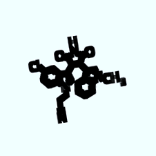 Cn1cc(C2=C(c3cn(CCC#N)c4ccc(Cl)cc34)C(=O)NC2=O)c2ccccc21